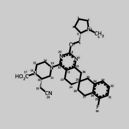 CN1CCC[C@H]1COc1nc2c(c(N3CCN(C(=O)O)[C@@H](CC#N)C3)n1)CC[C@@]1(CCc3c(F)cccc3C1)C2